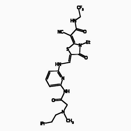 CCn1c(=C(C#N)C(=O)NCC(F)(F)F)sc(=CNc2cccc(NC(=O)CN(C)CCC(C)C)n2)c1=O